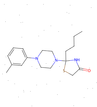 CCCCC1(N2CCN(c3cccc(C)c3)CC2)NC(=O)CS1